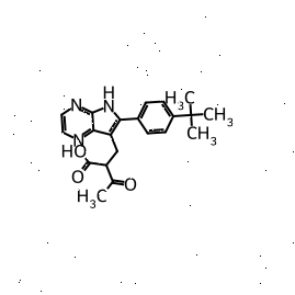 CC(=O)C(Cc1c(-c2ccc(C(C)(C)C)cc2)[nH]c2nccnc12)C(=O)O